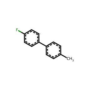 Cc1ccc(-c2[c]cc(F)cc2)cc1